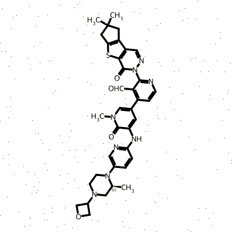 C[C@H]1CN(C2COC2)CCN1c1ccc(Nc2cc(-c3ccnc(-n4ncc5c6c(sc5c4=O)CC(C)(C)C6)c3C=O)cn(C)c2=O)nc1